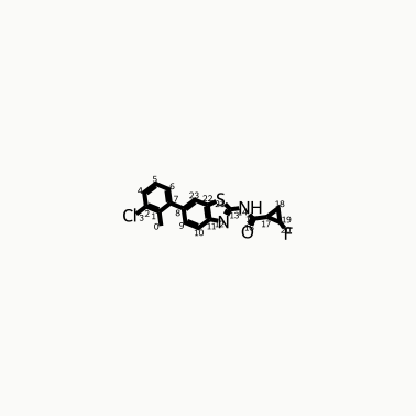 Cc1c(Cl)cccc1-c1ccc2nc(NC(=O)C3CC3F)sc2c1